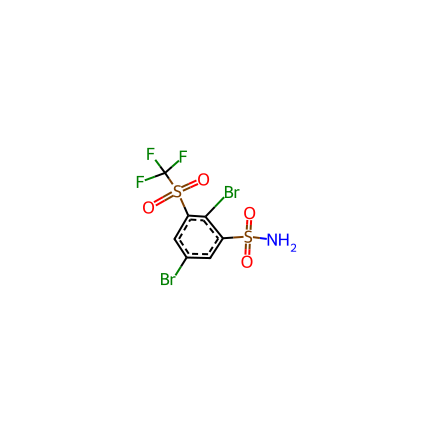 NS(=O)(=O)c1cc(Br)cc(S(=O)(=O)C(F)(F)F)c1Br